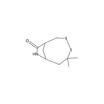 CC1(C)CC2CC(CSS1)C(=O)N2